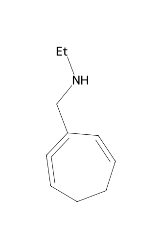 CCNCC1=C=CCCC=C1